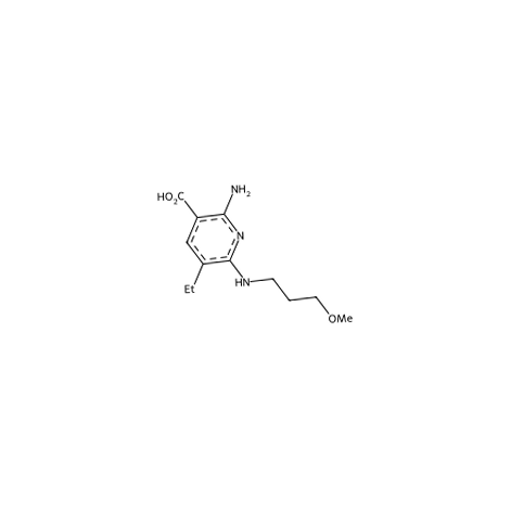 CCc1cc(C(=O)O)c(N)nc1NCCCOC